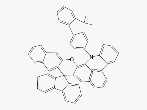 CC1(C)c2ccccc2-c2ccc(N(c3ccccc3-c3ccccc3)c3cccc4c3Oc3cc5ccccc5cc3C43c4ccccc4-c4ccccc43)cc21